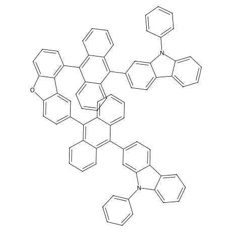 c1ccc(-n2c3ccccc3c3ccc(-c4c5ccccc5c(-c5ccc6oc7cccc(-c8c9ccccc9c(-c9ccc%10c%11ccccc%11n(-c%11ccccc%11)c%10c9)c9ccccc89)c7c6c5)c5ccccc45)cc32)cc1